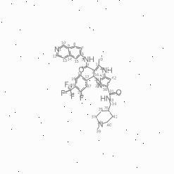 CC1=C(C(=O)Nc2ccc3cnccc3c2)C(c2ccc(C(F)(F)F)c(F)c2)n2nc(C(=O)NCC3CCN(C)CC3)cc2N1